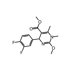 COC(=O)C1=C(C)N(C)C(OC)=NC1c1ccc(F)c(F)c1